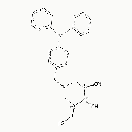 OC[C@H]1CN(Cc2ccc(N(c3ccccc3)c3ccccc3)cc2)C[C@@H](O)[C@@H]1O